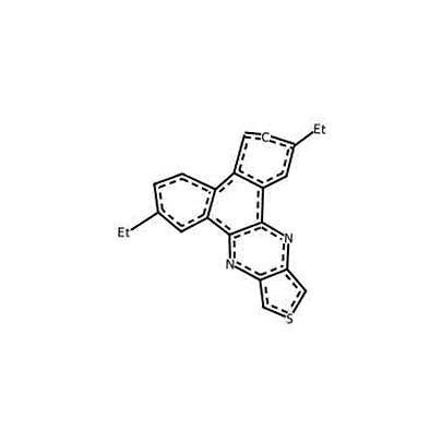 CCc1ccc2c3ccc(CC)cc3c3nc4cscc4nc3c2c1